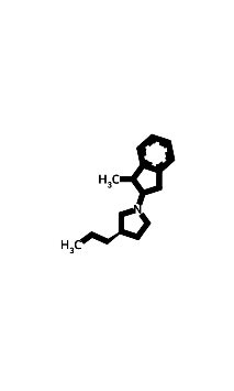 CCC[C@@H]1CCN(C2Cc3ccccc3C2C)C1